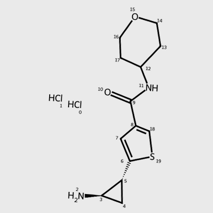 Cl.Cl.N[C@@H]1C[C@H]1c1cc(C(=O)NC2CCOCC2)cs1